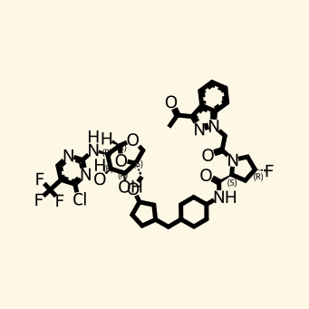 CC(=O)c1nn(CC(=O)N2C[C@H](F)C[C@H]2C(=O)NC2CCC(CC3CCC(OC[C@@]45CO[C@H](O4)[C@H](Nc4ncc(C(F)(F)F)c(Cl)n4)[C@@H](O)[C@H]5O)C3)CC2)c2ccccc12